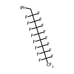 CC(C)CC(F)(F)C(F)(F)C(F)(F)C(F)(F)C(F)(F)C(F)(F)C(F)(F)C(F)(F)C(F)(F)F